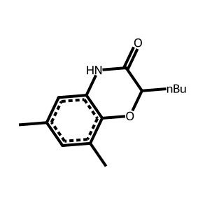 CCCCC1Oc2c(C)cc(C)cc2NC1=O